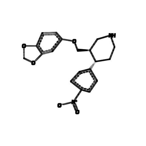 O=[N+]([O-])c1ccc([C@H]2CCNC[C@@H]2COc2ccc3c(c2)OCO3)cc1